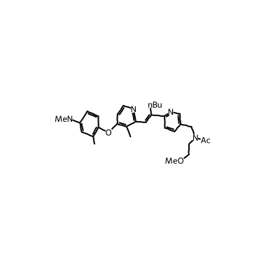 CCCC/C(=C\c1nccc(Oc2ccc(NC)cc2C)c1C)c1ccc(CN(CCOC)C(C)=O)cn1